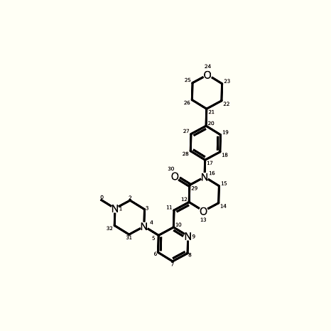 CN1CCN(c2cccnc2C=C2OCCN(c3ccc(C4CCOCC4)cc3)C2=O)CC1